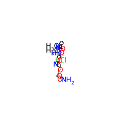 Cc1c(C(=O)Nc2ccc(Oc3ccnc4cc(OCCCC5(OC(=O)CN)CC5)ccc34)c(F)c2)c(=O)n(-c2ccccc2)n1C.Cl